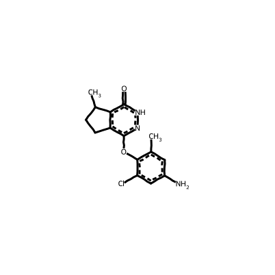 Cc1cc(N)cc(Cl)c1Oc1n[nH]c(=O)c2c1CCC2C